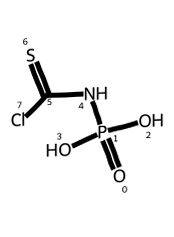 O=P(O)(O)NC(=S)Cl